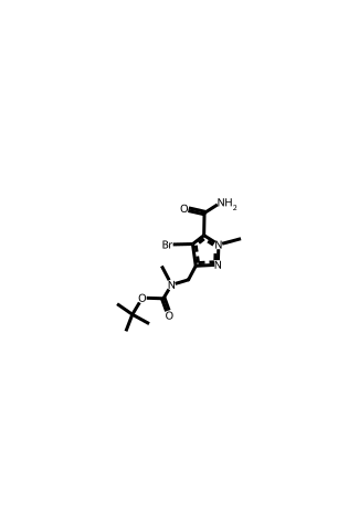 CN(Cc1nn(C)c(C(N)=O)c1Br)C(=O)OC(C)(C)C